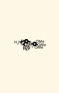 COc1cc(NCc2ccc3nc(N)nc(N)c3c2C)cc(OC)c1OC.Cl.O